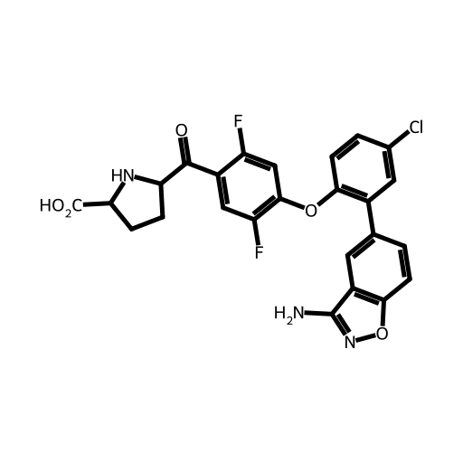 Nc1noc2ccc(-c3cc(Cl)ccc3Oc3cc(F)c(C(=O)C4CCC(C(=O)O)N4)cc3F)cc12